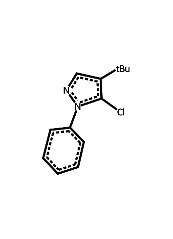 CC(C)(C)c1cnn(-c2ccccc2)c1Cl